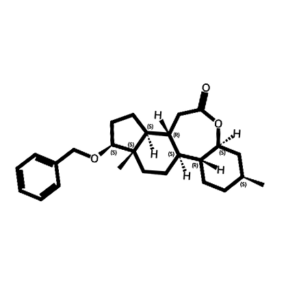 C[C@H]1CC[C@@H]2[C@H]3CC[C@]4(C)[C@@H](OCc5ccccc5)CC[C@H]4[C@@H]3CC(=O)O[C@H]2C1